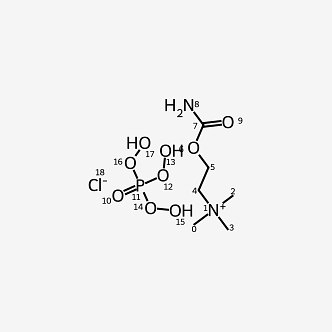 C[N+](C)(C)CCOC(N)=O.O=P(OO)(OO)OO.[Cl-]